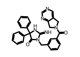 N=C1NC(c2ccccc2)(c2ccccc2)C(=O)N1Cc1cccc(C(=O)N2Cc3cncnc3C2)c1